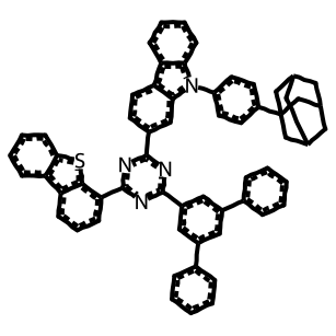 c1ccc(-c2cc(-c3ccccc3)cc(-c3nc(-c4ccc5c6ccccc6n(-c6ccc(C78CC9CC(CC(C9)C7)C8)cc6)c5c4)nc(-c4cccc5c4sc4ccccc45)n3)c2)cc1